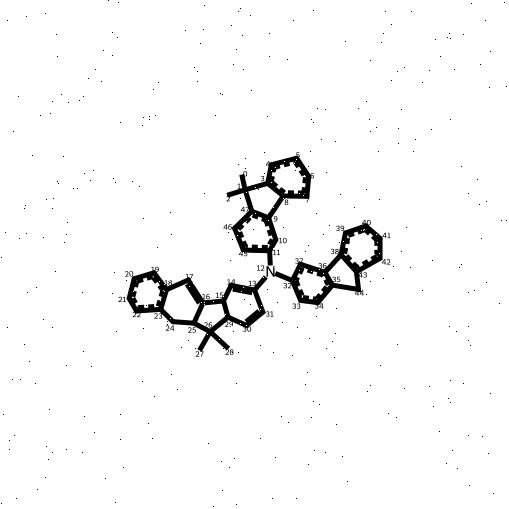 CC1(C)c2ccccc2-c2cc(N(C3=CC4C5=Cc6ccccc6CC5C(C)(C)C4C=C3)c3ccc4c(c3)-c3ccccc3C4)ccc21